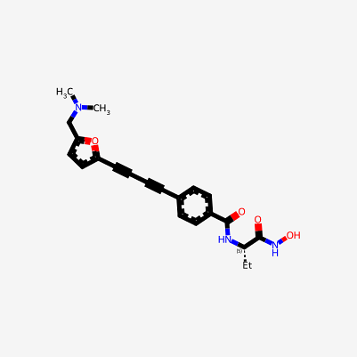 CC[C@H](NC(=O)c1ccc(C#CC#Cc2ccc(CN(C)C)o2)cc1)C(=O)NO